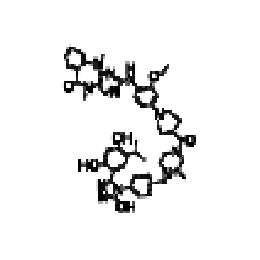 CCOc1cc(N2CCC(C(=O)N3CCN(Cc4ccc(-n5c(O)nnc5-c5cc(C(C)C)c(O)cc5O)cc4)[C@H](C)C3)CC2)ccc1Nc1ncc2c(n1)N(C)c1ccccc1C(=O)N2C